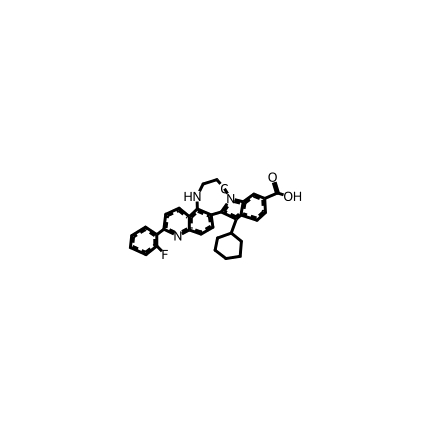 O=C(O)c1ccc2c(C3CCCCC3)c3n(c2c1)CCCNc1c-3ccc2nc(-c3ccccc3F)ccc12